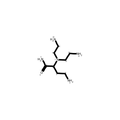 NCCC(C(N)=O)N(CCN)CCN